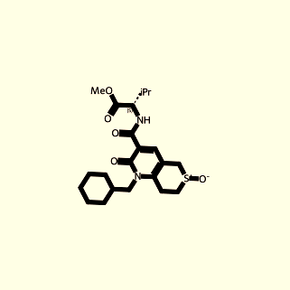 COC(=O)[C@@H](NC(=O)c1cc2c(n(CC3CCCCC3)c1=O)CC[S+]([O-])C2)C(C)C